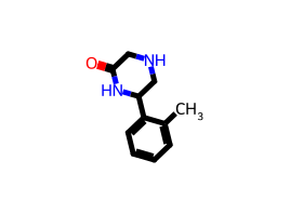 Cc1ccccc1C1CNCC(=O)N1